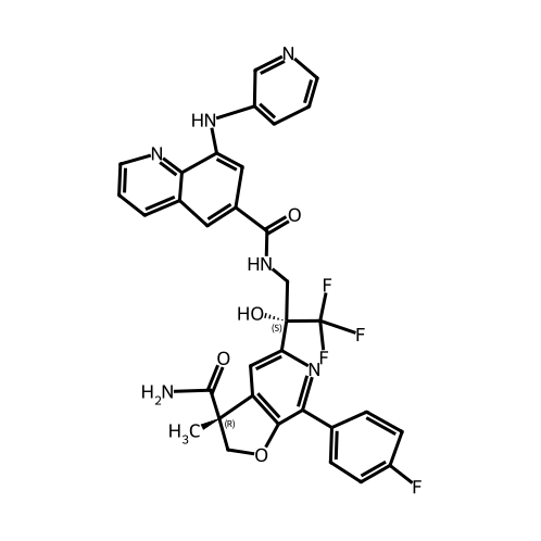 C[C@]1(C(N)=O)COc2c1cc([C@@](O)(CNC(=O)c1cc(Nc3cccnc3)c3ncccc3c1)C(F)(F)F)nc2-c1ccc(F)cc1